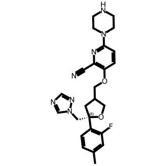 Cc1ccc([C@@]2(Cn3cncn3)CC(COc3ccc(N4CCNCC4)nc3C#N)CO2)c(F)c1